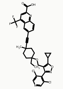 CCC1(OCc2c(-c3c(Cl)cncc3Cl)noc2C2CC2)CCC(C)(C#Cc2ccc3nc(C(=O)O)cc(C(F)(F)F)c3c2)CC1